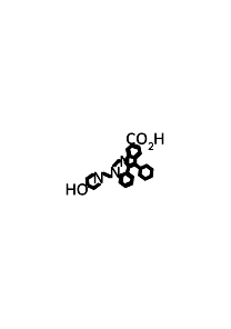 O=C(O)c1ccc2c(C3CCCCC3)c3n(c2c1)CCN(CCN1CCC(O)CC1)c1ccccc1-3